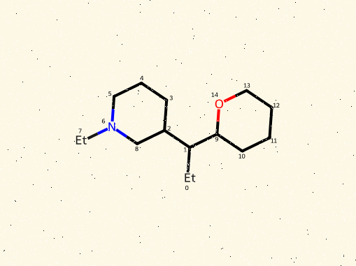 CC[C](C1CCCN(CC)C1)C1CCCCO1